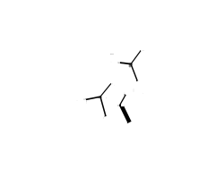 C=C[SiH3].CC(C)O.CC(C)O